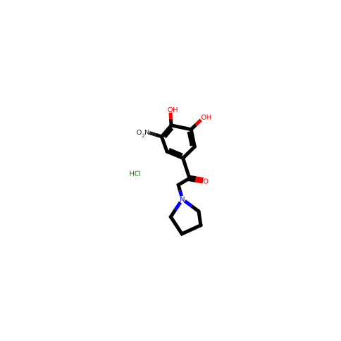 Cl.O=C(CN1CCCC1)c1cc(O)c(O)c([N+](=O)[O-])c1